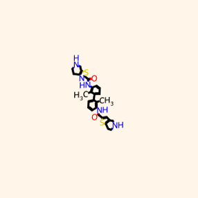 Cc1c(NC(=O)c2cc3c(s2)CCNC3)cccc1-c1cccc(NC(=O)c2nc3c(s2)CNCC3)c1C